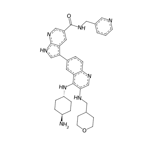 N[C@H]1CC[C@H](Nc2c(NCC3CCOCC3)cnc3ccc(-c4c[nH]c5ncc(C(=O)NCc6cccnc6)cc45)cc23)CC1